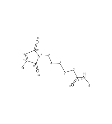 CNC(=O)CCCCCN1C(=O)C=C(C)C1=O